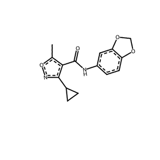 Cc1onc(C2CC2)c1C(=O)Nc1ccc2c(c1)OCO2